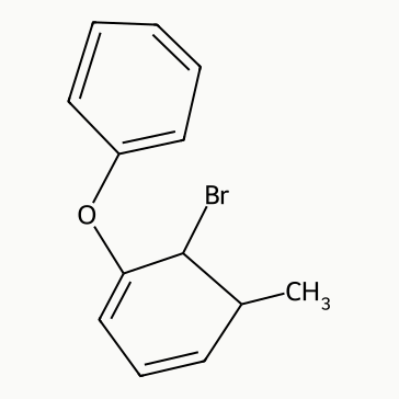 CC1C=CC=C(Oc2ccccc2)C1Br